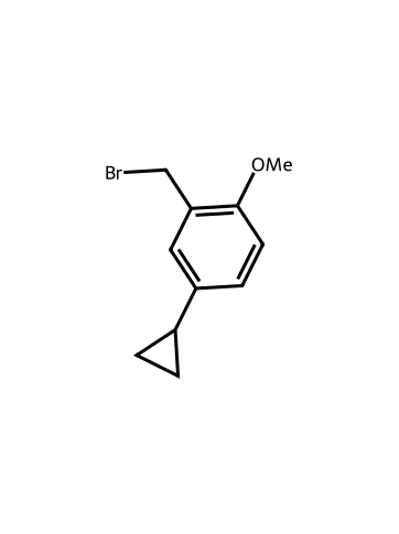 COc1ccc(C2CC2)cc1CBr